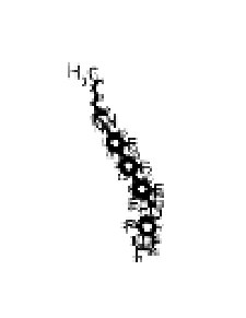 CCCCCc1cnc(-c2ccc(-c3ccc(-c4cc(F)c(C(F)(F)Oc5cc(F)c(OC(F)F)c(F)c5)c(F)c4)c(F)c3)c(F)c2)nc1